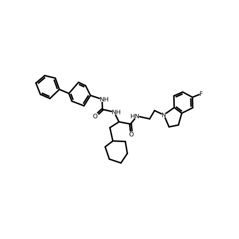 O=C(Nc1ccc(-c2ccccc2)cc1)NC(CC1CCCCC1)C(=O)NCCN1CCc2cc(F)ccc21